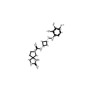 O=C1NC2(CCN(C(=O)O[C@H]3C[C@@H](COc4ccc(F)c(F)c4F)C3)C2)CO1